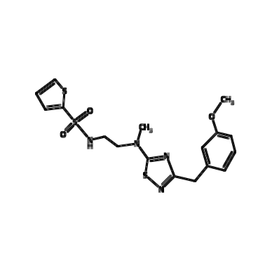 COc1cccc(Cc2nsc(N(C)CCNS(=O)(=O)c3cccs3)n2)c1